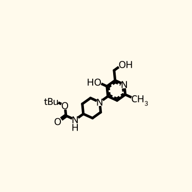 Cc1cc(N2CCC(NC(=O)OC(C)(C)C)CC2)c(O)c(CO)n1